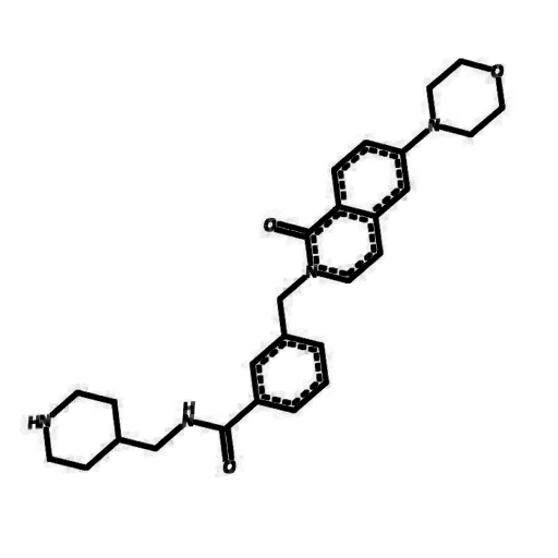 O=C(NCC1CCNCC1)c1cccc(Cn2ccc3cc(N4CCOCC4)ccc3c2=O)c1